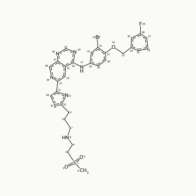 CS(=O)(=O)CCNCCCc1nc(-c2cc3c(Nc4ccc(OCc5cccc(F)c5)c(Br)c4)ncnc3cn2)cs1